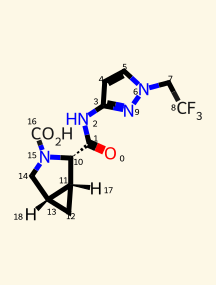 O=C(Nc1ccn(CC(F)(F)F)n1)[C@@H]1[C@@H]2C[C@@H]2CN1C(=O)O